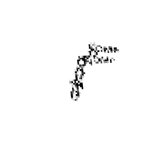 COc1cc(OC)c(-c2cn3ccc(N4CCN(c5cnc(N6CCOCC6)nc5)CC4)cc3n2)cc1Cl